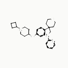 c1ccc(NCC2(c3ccc(OC4CCN(C5CCC5)CC4)cc3)CCOCC2)nc1